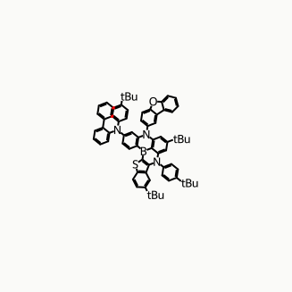 CC(C)(C)c1ccc(N(c2ccc3c(c2)N(c2ccc4oc5ccccc5c4c2)c2cc(C(C)(C)C)cc4c2B3c2sc3ccc(C(C)(C)C)cc3c2N4c2ccc(C(C)(C)C)cc2)c2ccccc2-c2ccccc2)cc1